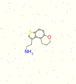 NCCc1csc2ccc3c(c12)CCCO3